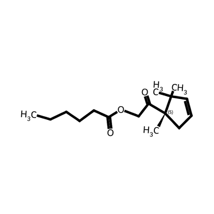 CCCCCC(=O)OCC(=O)[C@@]1(C)CC=CC1(C)C